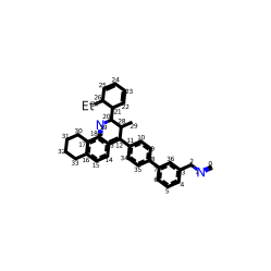 C=NCc1cccc(-c2ccc(C3=c4ccc5c(c4=NC(C4C=CC=CC4CC)C3C)CCCC5)cc2)c1